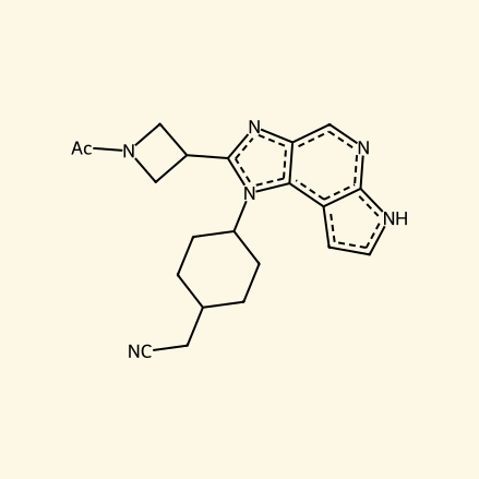 CC(=O)N1CC(c2nc3cnc4[nH]ccc4c3n2C2CCC(CC#N)CC2)C1